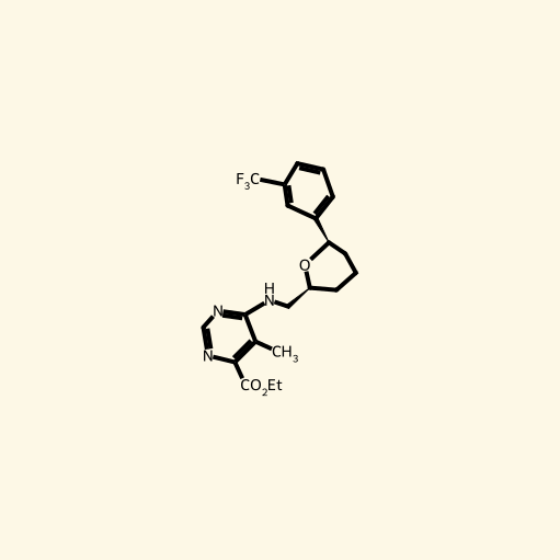 CCOC(=O)c1ncnc(NC[C@@H]2CCC[C@H](c3cccc(C(F)(F)F)c3)O2)c1C